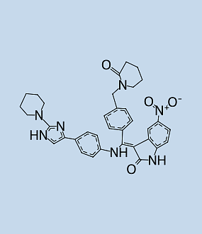 O=C1Nc2ccc([N+](=O)[O-])cc2/C1=C(/Nc1ccc(-c2c[nH]c(N3CCCCC3)n2)cc1)c1ccc(CN2CCCCC2=O)cc1